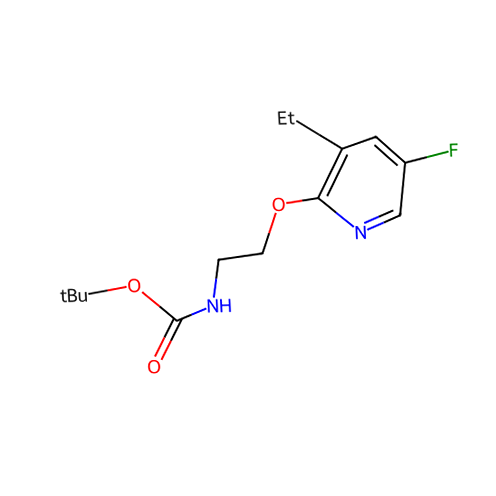 CCc1cc(F)cnc1OCCNC(=O)OC(C)(C)C